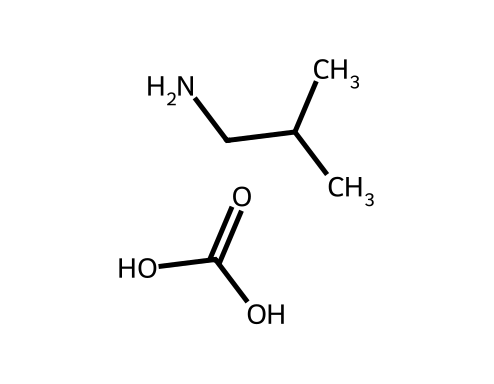 CC(C)CN.O=C(O)O